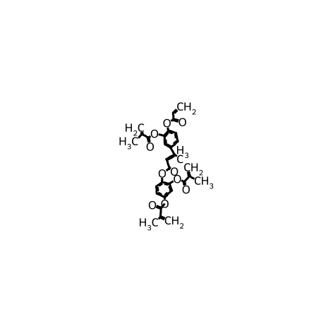 C=CC(=O)Oc1ccc(/C(C)=C/C(=O)Oc2ccc(OC(=O)C(=C)C)cc2OC(=O)C(=C)C)cc1OC(=O)C(=C)C